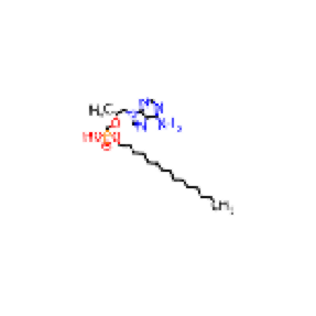 CCCCCCCCCCCCCCCOP(=O)(O)CO[C@H](C)Cn1cnc2c(N)ncnc21